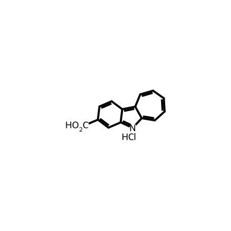 Cl.O=C(O)c1ccc2c3cccccc-3nc2c1